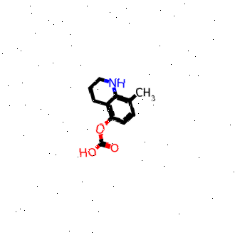 Cc1ccc(OC(=O)O)c2c1NCCC2